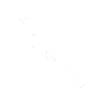 CN(CCCCCCNCCCCC(=O)OCC1OC(n2ccc(NC(=O)CCCCNCCCCCCNCc3ccccc3)nc2=O)CS1)c1ccccc1